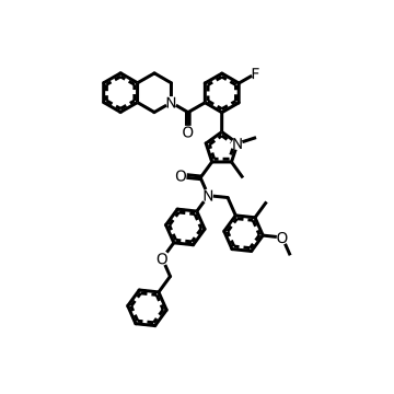 COc1cccc(CN(C(=O)c2cc(-c3cc(F)ccc3C(=O)N3CCc4ccccc4C3)n(C)c2C)c2ccc(OCc3ccccc3)cc2)c1C